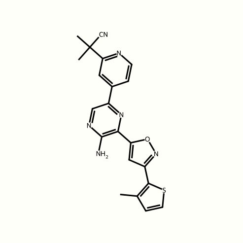 Cc1ccsc1-c1cc(-c2nc(-c3ccnc(C(C)(C)C#N)c3)cnc2N)on1